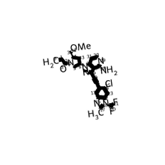 C=CC(=O)N1C[C@@H](n2nc(C#Cc3cc4nc(C)n(C(F)F)c4cc3Cl)c3c(N)nccc32)C[C@@H]1COC